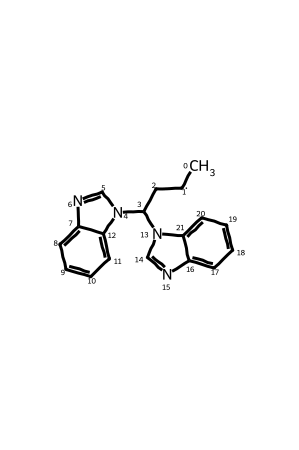 C[CH]CC(n1cnc2ccccc21)n1cnc2ccccc21